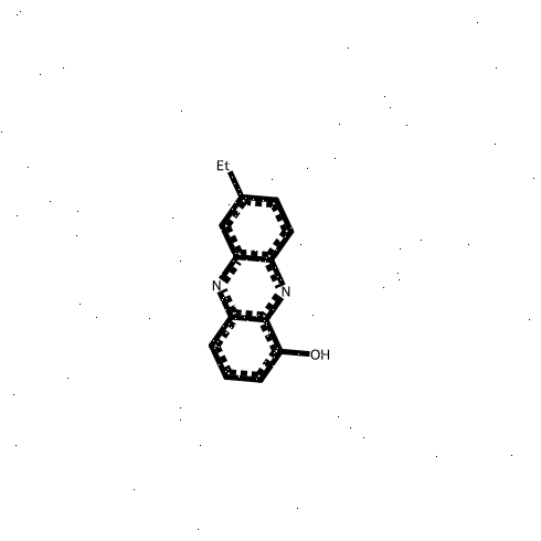 CCc1ccc2nc3c(O)cccc3nc2c1